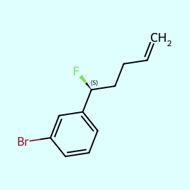 C=CCC[C@H](F)c1cccc(Br)c1